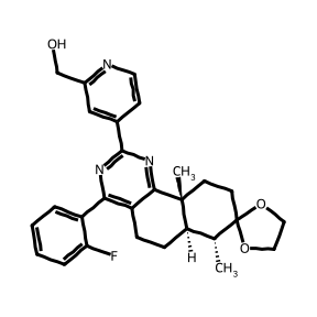 C[C@@H]1[C@H]2CCc3c(-c4ccccc4F)nc(-c4ccnc(CO)c4)nc3[C@]2(C)CCC12OCCO2